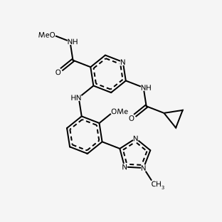 CONC(=O)c1cnc(NC(=O)C2CC2)cc1Nc1cccc(-c2ncn(C)n2)c1OC